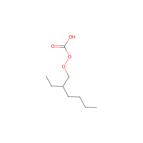 CCCCC(CC)COOC(=O)O